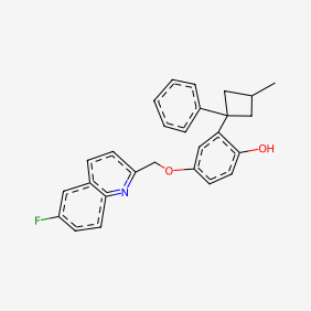 CC1CC(c2ccccc2)(c2cc(OCc3ccc4cc(F)ccc4n3)ccc2O)C1